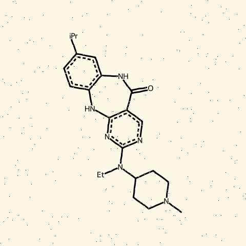 CCN(c1ncc2c(n1)Nc1ccc(C(C)C)cc1NC2=O)C1CCN(C)CC1